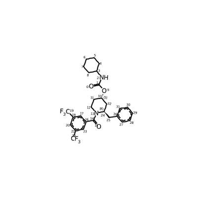 O=C(NC1CCCCC1)O[C@H]1CCN(C(=O)c2cc(C(F)(F)F)cc(C(F)(F)F)c2)[C@H](Cc2ccccc2)C1